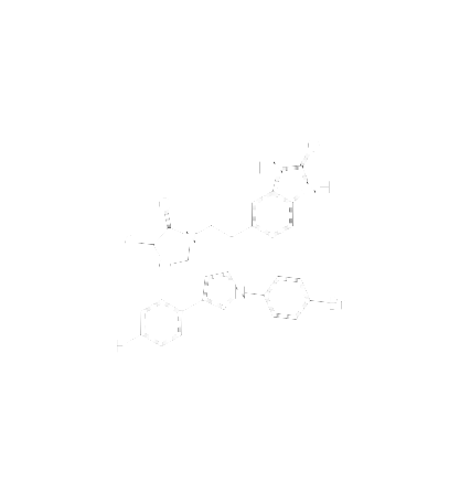 CC1O[C@@H](c2cn(-c3ccc(Br)cc3)cc2-c2ccc(F)cc2)N(CCc2ccc3[nH]c(=O)[nH]c3c2)C1=O